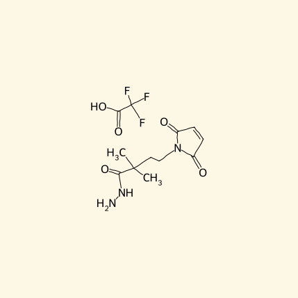 CC(C)(CCN1C(=O)C=CC1=O)C(=O)NN.O=C(O)C(F)(F)F